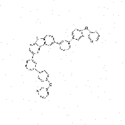 c1cc(-c2ccc3oc4ccc(-c5cccc(-c6ccc7oc8cccnc8c7c6)c5)cc4c3c2)cc(-c2ccc3oc4cccnc4c3c2)c1